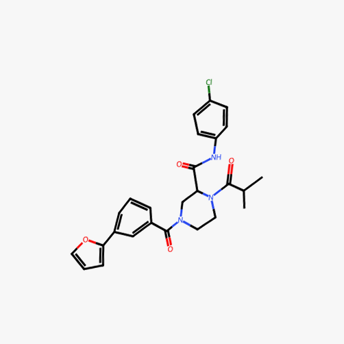 CC(C)C(=O)N1CCN(C(=O)c2cccc(-c3ccco3)c2)CC1C(=O)Nc1ccc(Cl)cc1